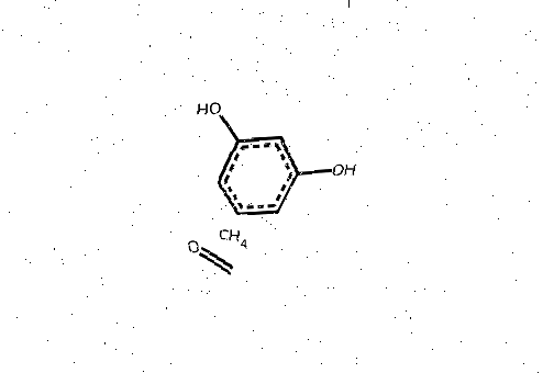 C.C=O.Oc1cccc(O)c1